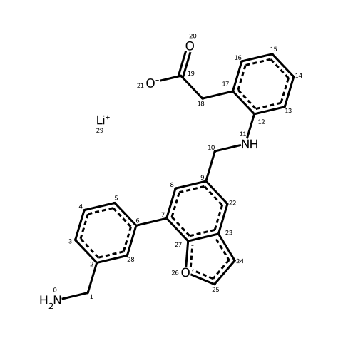 NCc1cccc(-c2cc(CNc3ccccc3CC(=O)[O-])cc3ccoc23)c1.[Li+]